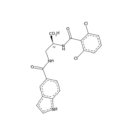 O=C(NC[C@H](NC(=O)c1c(Cl)cccc1Cl)C(=O)O)c1ccc2[nH]ccc2c1